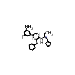 C=C/C(=C/C1=CC=CC1)Nc1ncc(-c2cc(N)cc(F)c2)nc1Cc1ccccc1